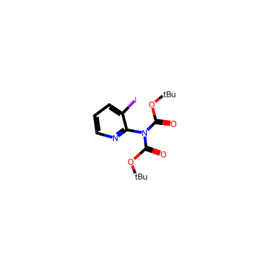 CC(C)(C)OC(=O)N(C(=O)OC(C)(C)C)c1ncccc1I